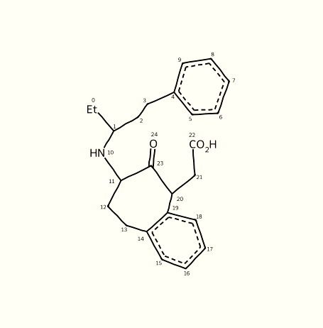 CCC(CCc1ccccc1)NC1CCc2ccccc2C(CC(=O)O)C1=O